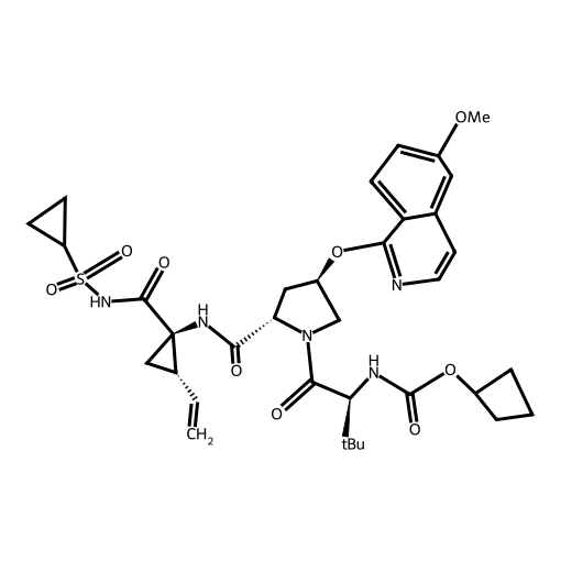 C=C[C@@H]1C[C@]1(NC(=O)[C@@H]1C[C@@H](Oc2nccc3cc(OC)ccc23)CN1C(=O)[C@@H](NC(=O)OC1CCC1)C(C)(C)C)C(=O)NS(=O)(=O)C1CC1